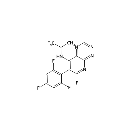 CC(Nc1c(-c2c(F)cc(F)cc2F)c(F)nc2nncnc12)C(F)(F)F